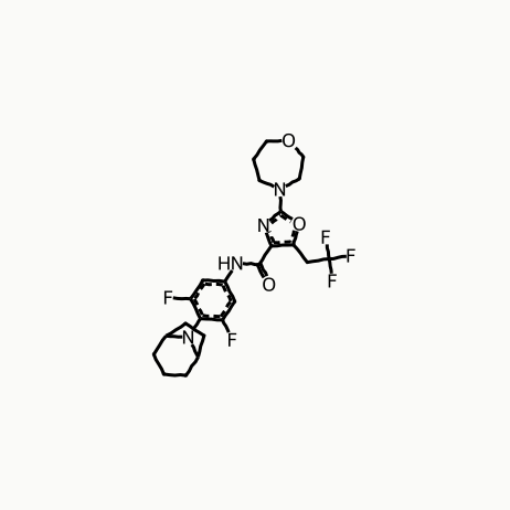 O=C(Nc1cc(F)c(N2C3CCCC2CC3)c(F)c1)c1nc(N2CCCOCC2)oc1CC(F)(F)F